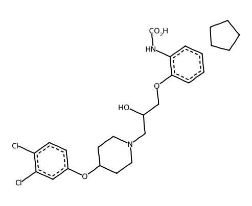 C1CCCC1.O=C(O)Nc1ccccc1OCC(O)CN1CCC(Oc2ccc(Cl)c(Cl)c2)CC1